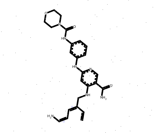 C=C/C(=C\C=C/N)CNc1cc(Nc2cccc(NC(=O)N3CCOCC3)c2)ncc1C(N)=O